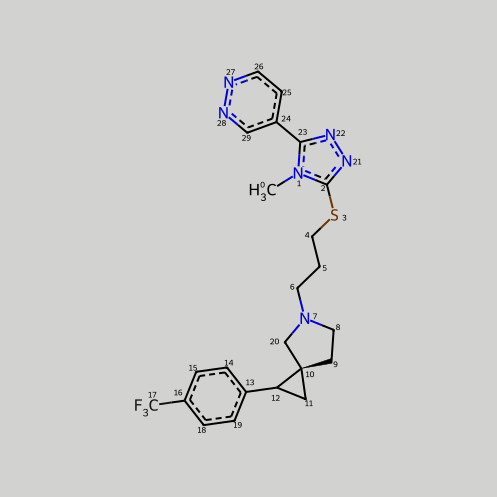 Cn1c(SCCCN2CC[C@]3(CC3c3ccc(C(F)(F)F)cc3)C2)nnc1-c1ccnnc1